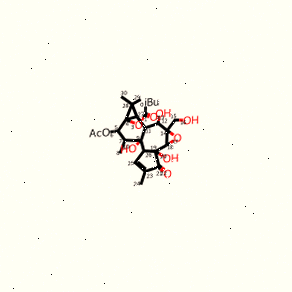 CCC(C)C(=O)OC12C(OC(C)=O)C(C)C3(O)C(C(O)C4(CO)OC4C4(O)C(=O)C(C)=CC43)C1C2(C)C